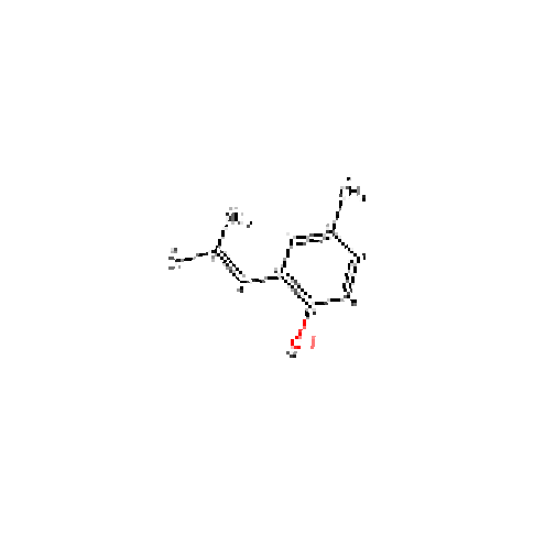 CCC(=Cc1cc(C)ccc1O)[N+](=O)[O-]